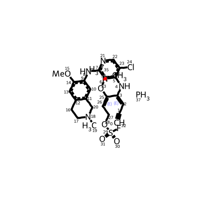 C#C/C=C(Nc1nc(Nc2cc3c(cc2OC)CCN(C)C3)ncc1Cl)\C(=C/COS(=O)(=O)F)OP(C)C.P